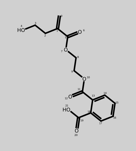 C=C(CCO)C(=O)OCCOC(=O)c1ccccc1C(=O)O